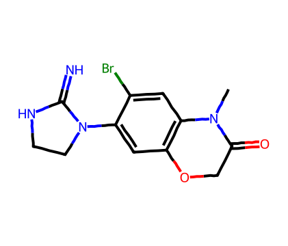 CN1C(=O)COc2cc(N3CCNC3=N)c(Br)cc21